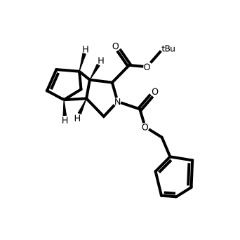 CC(C)(C)OC(=O)C1[C@@H]2[C@H](CN1C(=O)OCc1ccccc1)[C@@H]1C=C[C@H]2C1